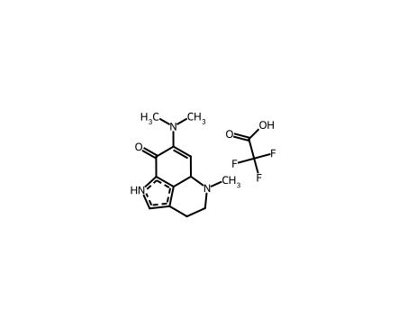 CN(C)C1=CC2c3c(c[nH]c3C1=O)CCN2C.O=C(O)C(F)(F)F